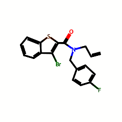 C=CCN(Cc1ccc(F)cc1)C(=O)c1sc2ccccc2c1Br